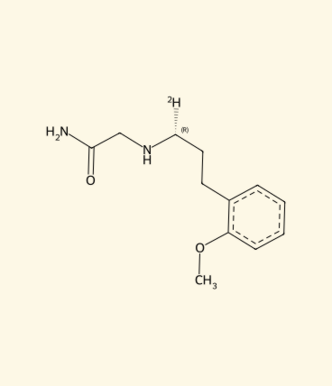 [2H][C@H](CCc1ccccc1OC)NCC(N)=O